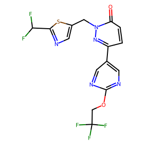 O=c1ccc(-c2cnc(OCC(F)(F)F)nc2)nn1Cc1cnc(C(F)F)s1